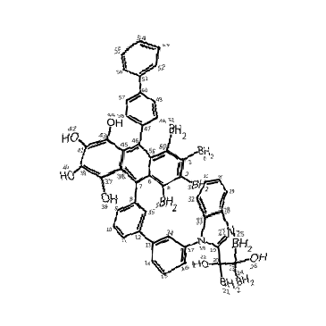 Bc1c(B)c(B)c2c(-c3cccc(-c4cccc(-n5c(C(B)(O)C(B)(B)O)nc6ccccc65)c4)c3)c3c(O)c(O)c(O)c(O)c3c(-c3ccc(-c4ccccc4)cc3)c2c1B